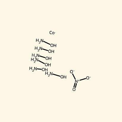 NO.NO.NO.NO.NO.NO.O=[N+]([O-])[O-].[Co]